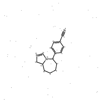 N#Cc1ccc(C2CCCCC3CN=CN32)cc1